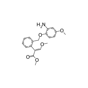 CO/C=C(/C(=O)OC)c1ccccc1COc1ccc(OC)cc1N